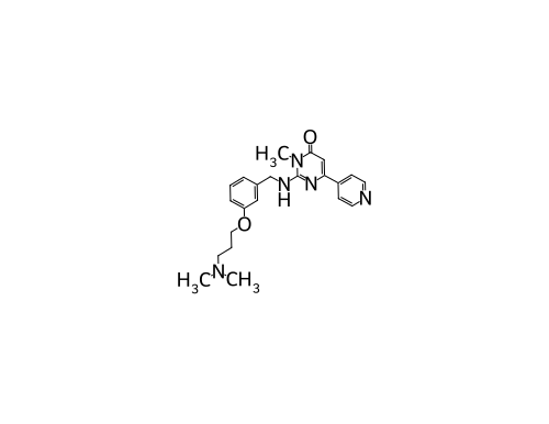 CN(C)CCCOc1cccc(CNc2nc(-c3ccncc3)cc(=O)n2C)c1